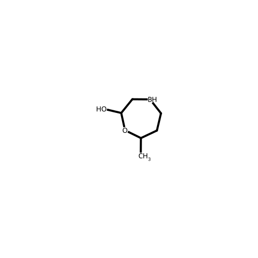 CC1CCBCC(O)O1